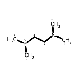 CN(C)CCP(C)C